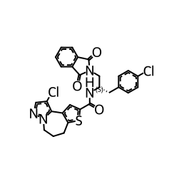 O=C(N[C@@H](Cc1ccc(Cl)cc1)CN1C(=O)c2ccccc2C1=O)c1cc2c(s1)CCCn1ncc(Cl)c1-2